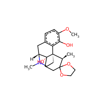 COc1ccc2c(c1O)[C@]13CCN(C)[C@H](C2)[C@]1(O)CCC1(OCCO1)[C@@H]3C